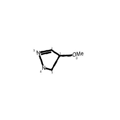 COC1C=N[N]C1